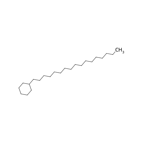 CCCCCCCCCCCCCCCCCC1CCCCC1